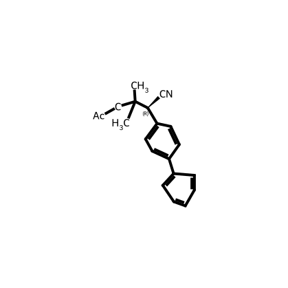 CC(=O)CC(C)(C)[C@@H](C#N)c1ccc(-c2ccccc2)cc1